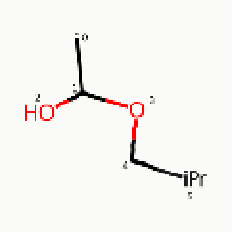 [CH2]C(O)OCC(C)C